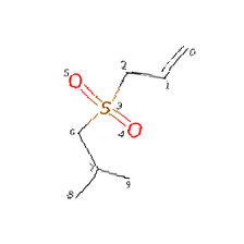 C=CCS(=O)(=O)CC(C)C